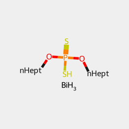 CCCCCCCOP(=S)(S)OCCCCCCC.[BiH3]